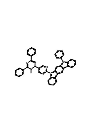 CN1C(c2ccccc2)=NC(c2ccccc2)=NC1c1cnc(-n2c3ccccc3c3cc4c5ccccc5n(-c5ccccc5)c4cc32)nc1